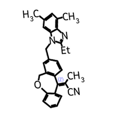 CCc1nc2c(C)cc(C)cc2n1Cc1ccc2c(c1)COc1ccccc1/C2=C(/C)C#N